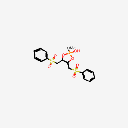 CO[P]1(O)OC(CS(=O)(=O)c2ccccc2)C(CS(=O)(=O)c2ccccc2)O1